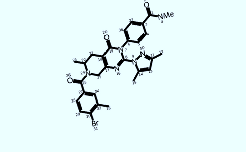 CNC(=O)c1ccc(-n2c(-n3nc(C)cc3C)nc3c(c2=O)CC(C)N(C(=O)c2ccc(Br)c(C)c2)C3)cc1